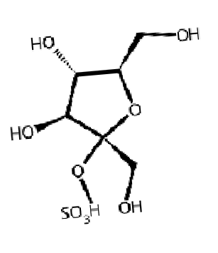 O=S(=O)(O)O[C@@]1(CO)O[C@H](CO)[C@@H](O)[C@@H]1O